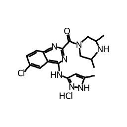 Cc1cc(Nc2nc(C(=O)N3CC(C)NC(C)C3)nc3ccc(Cl)cc23)n[nH]1.Cl